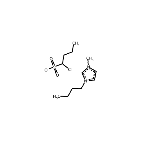 CCCC(Cl)S(=O)(=O)[O-].CCCC[n+]1ccn(C)c1